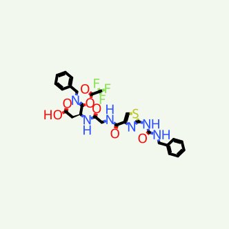 O=C(O)C[C@H](NC(=O)CNC(=O)c1csc(NC(=O)NCc2ccccc2)n1)C(=NCc1ccccc1)OC(=O)C(F)(F)F